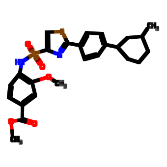 COC(=O)c1ccc(NS(=O)(=O)c2csc(-c3ccc(C4CCCC(C)C4)cc3)n2)c(OC)c1